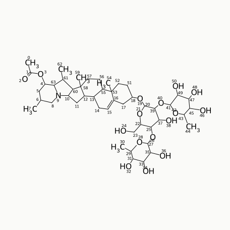 CC(=O)OC1CC(C)CN2C3CC4C5CC=C6CC(OC7OC(CO)C(OC8OC(C)C(O)C(O)C8O)C(O)C7OC7OC(C)C(O)C(O)C7O)CCC6(C)C5CCC4(C)C3C(C)C12